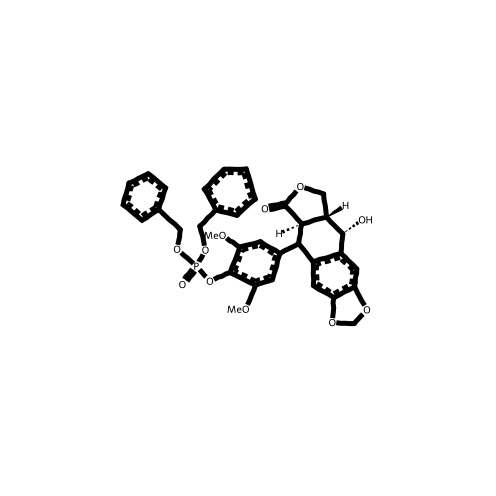 COc1cc(C2c3cc4c(cc3[C@@H](O)[C@H]3COC(=O)[C@H]23)OCO4)cc(OC)c1OP(=O)(OCc1ccccc1)OCc1ccccc1